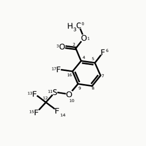 COC(=O)c1c(F)ccc(OSC(F)(F)F)c1F